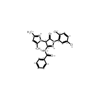 Cc1cc(C)n(C2C(=O)N(c3cc(Cl)ccc3Cl)N=C2NC(=O)c2ccccc2)n1